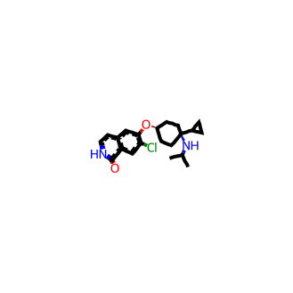 CC(C)N[C@]1(C2CC2)CC[C@@H](Oc2cc3cc[nH]c(=O)c3cc2Cl)CC1